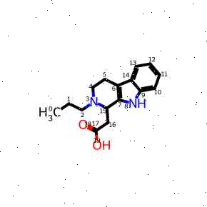 CCCN1CCc2c([nH]c3ccccc23)C1CC(=O)O